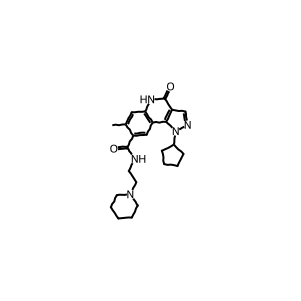 Cc1cc2[nH]c(=O)c3cnn(C4CCCC4)c3c2cc1C(=O)NCCN1CCCCC1